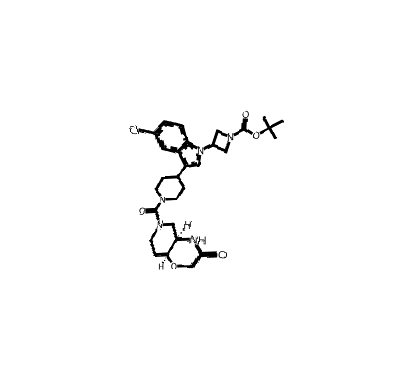 CC(C)(C)OC(=O)N1CC(n2cc(C3CCN(C(=O)N4CC[C@@H]5OCC(=O)N[C@@H]5C4)CC3)c3cc(Cl)ccc32)C1